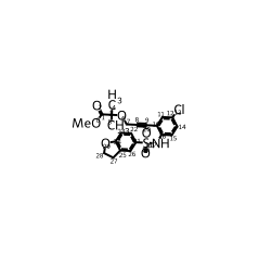 COC(=O)C(C)(C)OCC#Cc1cc(Cl)ccc1NS(=O)(=O)c1ccc2c(c1)CCO2